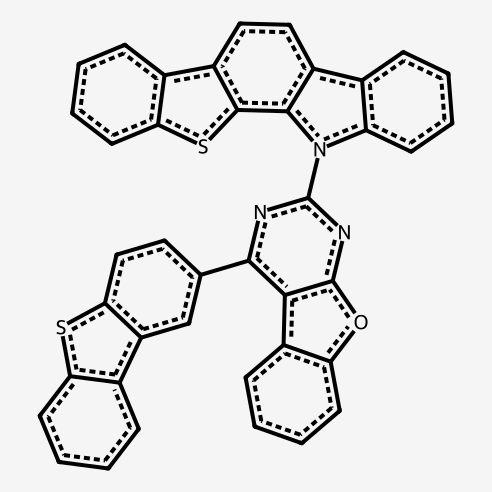 c1ccc2c(c1)oc1nc(-n3c4ccccc4c4ccc5c6ccccc6sc5c43)nc(-c3ccc4sc5ccccc5c4c3)c12